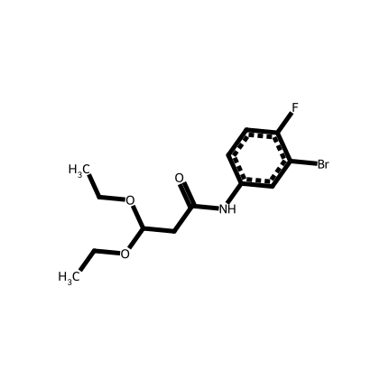 CCOC(CC(=O)Nc1ccc(F)c(Br)c1)OCC